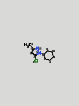 Cc1cc(Cl)n(C2CCCCC2)n1